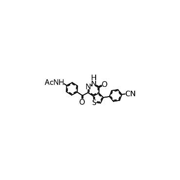 CC(=O)Nc1ccc(C(=O)c2n[nH]c(=O)c3c(-c4ccc(C#N)cc4)csc23)cc1